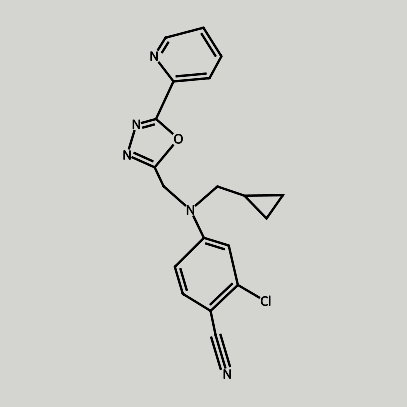 N#Cc1ccc(N(Cc2nnc(-c3ccccn3)o2)CC2CC2)cc1Cl